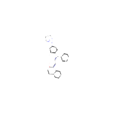 Cc1cc(N2CCCC2)ccc1/C(=C/C=C1\C(=O)C=Cc2ccccc21)c1ccccc1